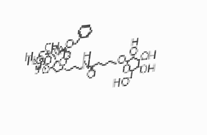 CC(C)(C)OP(O)(=S)OC1C[C@H](CCCNC(=O)CCCCO[C@H]2O[C@H](CO)[C@@H](O)[C@H](O)[C@@H]2O)O[C@@H]1COC(=O)OCc1ccccc1